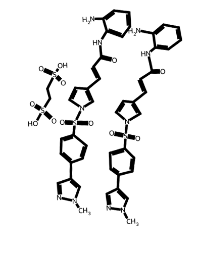 Cn1cc(-c2ccc(S(=O)(=O)n3ccc(/C=C/C(=O)Nc4ccccc4N)c3)cc2)cn1.Cn1cc(-c2ccc(S(=O)(=O)n3ccc(/C=C/C(=O)Nc4ccccc4N)c3)cc2)cn1.O=S(=O)(O)CCS(=O)(=O)O